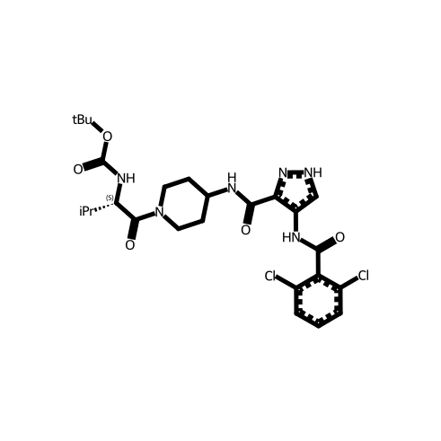 CC(C)[C@H](NC(=O)OC(C)(C)C)C(=O)N1CCC(NC(=O)c2n[nH]cc2NC(=O)c2c(Cl)cccc2Cl)CC1